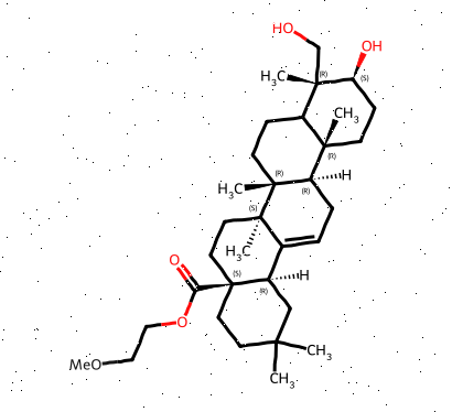 COCCOC(=O)[C@]12CCC(C)(C)C[C@@H]1C1=CC[C@@H]3[C@@]4(C)CC[C@H](O)[C@@](C)(CO)C4CC[C@@]3(C)[C@]1(C)CC2